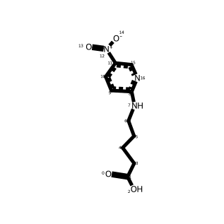 O=C(O)CCCCNc1ccc([N+](=O)[O-])cn1